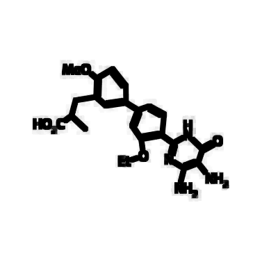 CCOc1cc(-c2ccc(OC)c(CC(C)C(=O)O)c2)ccc1-c1nc(N)c(N)c(=O)[nH]1